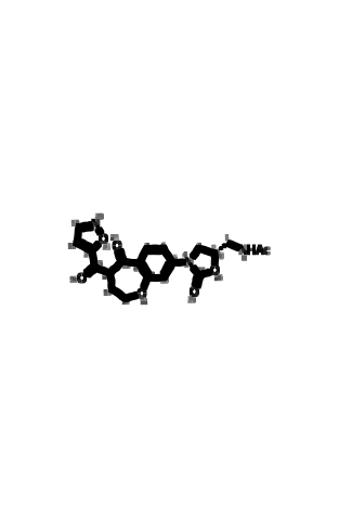 CC(=O)NC[C@H]1CN(c2ccc3c(c2)OCCC(C(=O)c2ccno2)C3=O)C(=O)O1